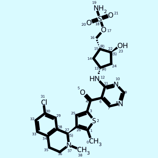 Cc1sc(C(=O)c2cncnc2N[C@@H]2C[C@H](COS(N)(=O)=O)[C@@H](O)C2)cc1[C@@H]1c2cc(Cl)ccc2CCN1C